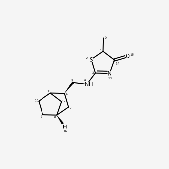 CC1SC(NC[C@H]2C[C@@H]3CCC2C3)=NC1=O